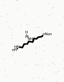 CCCCCCCCCCCCCCCCCCNCCC.I.I.N